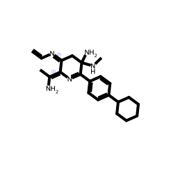 C=C/N=C1/CC(N)(NC)C(c2ccc(C3CCCCC3)cc2)=N/C1=C(/C)N